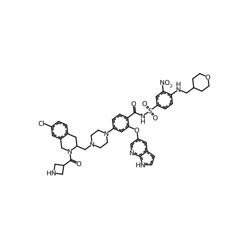 O=C(NS(=O)(=O)c1ccc(NCC2CCOCC2)c([N+](=O)[O-])c1)c1ccc(N2CCN(CC3Cc4ccc(Cl)cc4CN3C(=O)C3CNC3)CC2)cc1Oc1cnc2[nH]ccc2c1